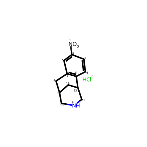 Cl.O=[N+]([O-])c1ccc2c(c1)CC1CNCC2C1